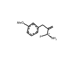 C=C(Cc1cccc(OC)c1)[C@@H](N)F